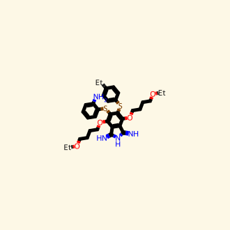 CCOCCCCOc1c(Sc2ccc(CC)cc2)c(Sc2ccccc2N)c(OCCCCOCC)c2c1C(=N)NC2=N